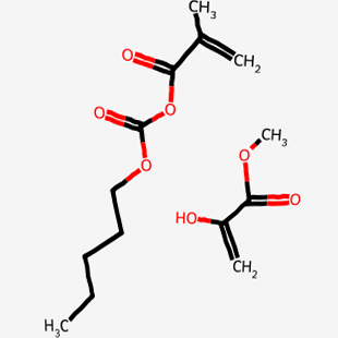 C=C(C)C(=O)OC(=O)OCCCCC.C=C(O)C(=O)OC